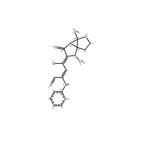 CN1/C(=C(Cl)\C=C(/C=O)Nc2ccncn2)C(=O)N2C3(C)OCCC123